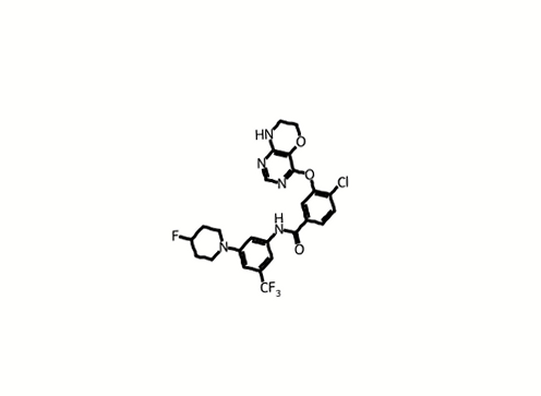 O=C(Nc1cc(N2CCC(F)CC2)cc(C(F)(F)F)c1)c1ccc(Cl)c(Oc2ncnc3c2OCCN3)c1